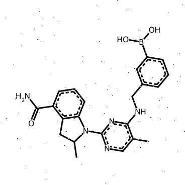 Cc1cnc(N2c3cccc(C(N)=O)c3CC2C)nc1NCc1cccc(B(O)O)c1